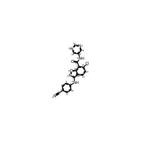 N#Cc1ccc(Nc2noc3c(C(=O)Nc4cncnc4)c(Cl)ccc23)cc1